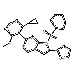 COc1ncnc(C2CC2)c1-c1ncc2cc(-c3ncco3)n(S(=O)(=O)c3ccccc3)c2n1